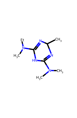 CCN(C)C1=NC(C)N=C(N(C)C)N1